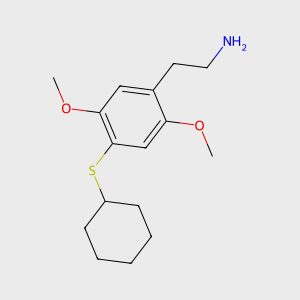 COc1cc(SC2CCCCC2)c(OC)cc1CCN